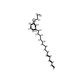 C=C/C=C/C=C/CCCCCCCCCc1cccc(OCCC)c1